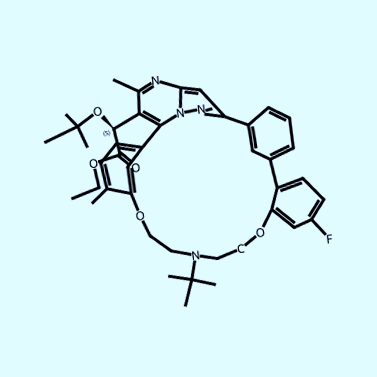 CCOC(=O)[C@@H](OC(C)(C)C)c1c(C)nc2cc3nn2c1-c1ccc(C)c(c1)OCCN(C(C)(C)C)CCOc1cc(F)ccc1-c1cccc-3c1